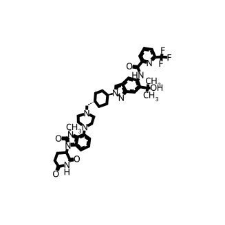 Cn1c(=O)n(C2CCC(=O)NC2=O)c2cccc(N3CCN(C[C@H]4CC[C@H](n5cc6cc(NC(=O)c7cccc(C(F)(F)F)n7)c(C(C)(C)O)cc6n5)CC4)CC3)c21